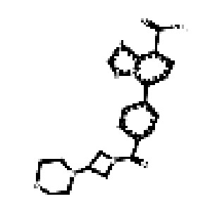 NC(=O)c1ccc(-c2ccc(C(=O)N3CC(N4CCOCC4)C3)cc2)n2n[c]nc12